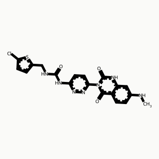 CNc1ccc2c(=O)n(-c3ccc(NC(=O)NCc4ccc(Cl)s4)nn3)c(=O)[nH]c2c1